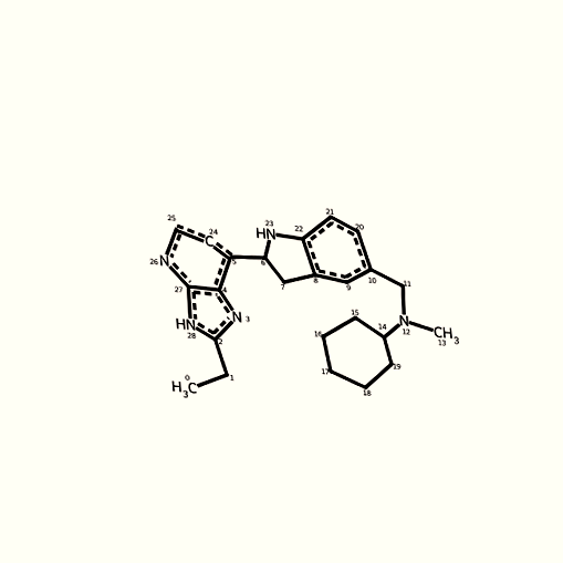 CCc1nc2c(C3Cc4cc(CN(C)C5CCCCC5)ccc4N3)ccnc2[nH]1